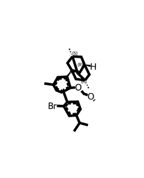 COCOc1c(-c2ccc(C(C)C)cc2Br)cc(C)cc1[C@@]12C[C@@H]3C[C@@](C)(C[C@@](C)(C3)C1)C2